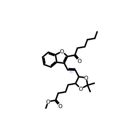 CCCCCC(=O)c1oc2ccccc2c1/C=C/C1OC(C)(C)OC1CCCC(=O)OC